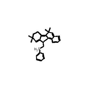 CC1(C)C=C2C(=C3C(=c4ccccc4=CC3(C)C)C2C[SiH2]c2ccccc2)CC1